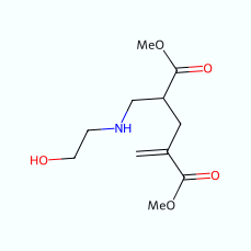 C=C(CC(CNCCO)C(=O)OC)C(=O)OC